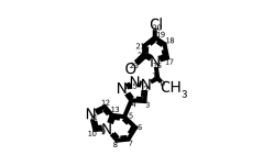 CC(n1cc(-c2cccn3cncc23)nn1)n1ccc(Cl)cc1=O